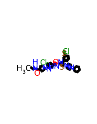 CCCNC(=O)C1CCN(c2ncc(C(=O)Nc3nc(-c4cccc(SCl)c4)c(N4CCN(C5CCCCC5)CC4)s3)cc2Cl)CC1